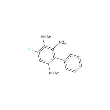 CC(=O)Nc1cc(F)c(NC(C)=O)c([N+](=O)[O-])c1-c1ccccc1